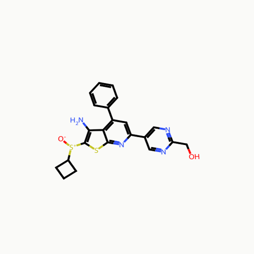 Nc1c([S+]([O-])C2CCC2)sc2nc(-c3cnc(CO)nc3)cc(-c3ccccc3)c12